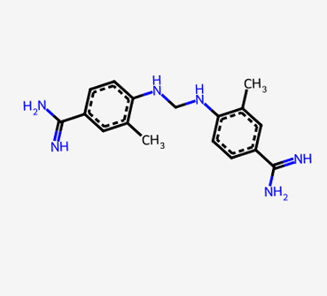 Cc1cc(C(=N)N)ccc1NCNc1ccc(C(=N)N)cc1C